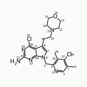 Cc1cnc(Cn2cc(CCN3CCOCC3)c3c(Cl)nc(N)nc32)c(C)c1Cl